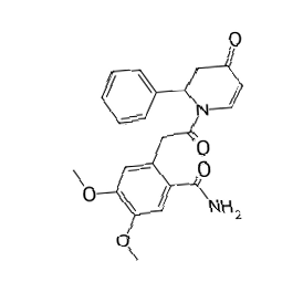 COc1cc(CC(=O)N2C=CC(=O)CC2c2ccccc2)c(C(N)=O)cc1OC